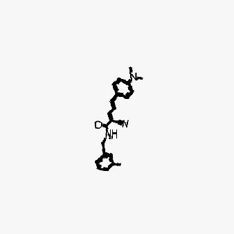 Cc1cccc(CNC(=O)/C(C#N)=C/C=C/c2ccc(N(C)C)cc2)c1